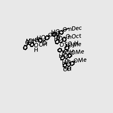 CCCCCCCCCCCCOc1ccc(C(=O)c2ccccc2)c(O)c1.CCCCCCCCOc1ccc(C(=O)c2ccccc2)c(O)c1.COc1cc(O)c(C(=O)c2ccccc2)cc1S(=O)(=O)O.COc1ccc(C(=O)c2ccc(OC)cc2O)c(O)c1.COc1ccc(C(=O)c2ccccc2)c(O)c1.COc1ccc(C(=O)c2ccccc2O)c(O)c1.O=C(c1ccccc1)c1ccc(O)cc1O